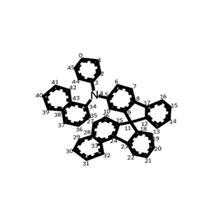 c1ccc(N(c2ccc3c(c2)C2(c4ccccc4-3)c3ccccc3-c3c2ccc2ccccc32)c2cccc3ccccc23)cc1